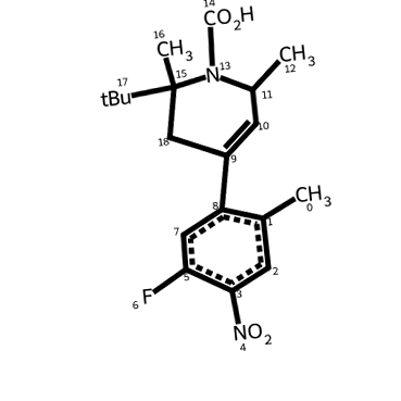 Cc1cc([N+](=O)[O-])c(F)cc1C1=CC(C)N(C(=O)O)C(C)(C(C)(C)C)C1